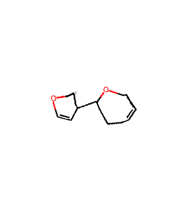 [C]1OC=CC1C1CC=CCO1